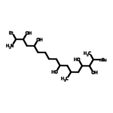 CCCCC(C)C(O)C(O)CC(C)CC(O)CCCCC(O)CC(O)C(N)CC